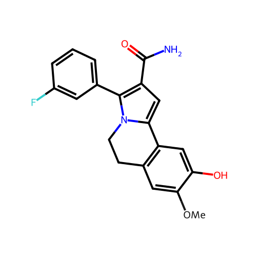 COc1cc2c(cc1O)-c1cc(C(N)=O)c(-c3cccc(F)c3)n1CC2